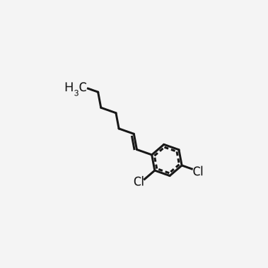 CCCCCC=Cc1ccc(Cl)cc1Cl